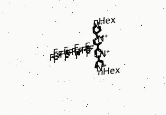 CCCCCC[n+]1ccc(-c2ccc(-c3ccc(-c4cc[n+](CCCCCC)cc4)[n+](C)c3)c[n+]2C)cc1.F[B-](F)(F)F.F[B-](F)(F)F.F[B-](F)(F)F.F[B-](F)(F)F